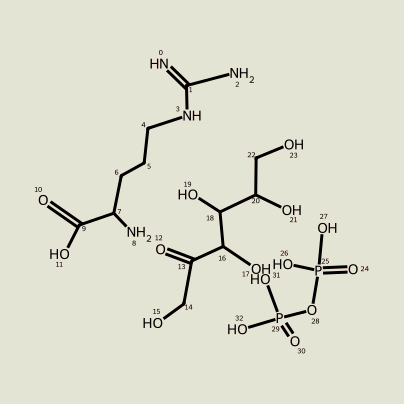 N=C(N)NCCCC(N)C(=O)O.O=C(CO)C(O)C(O)C(O)CO.O=P(O)(O)OP(=O)(O)O